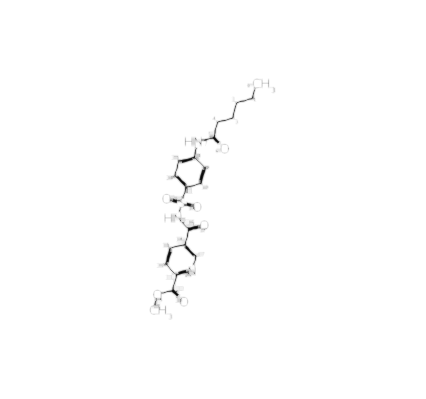 CCCCCC(=O)Nc1ccc(S(=O)(=O)NC(=O)c2ccc(C(=O)OC)nc2)cc1